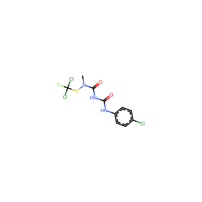 CN(SC(F)(Cl)Cl)C(=O)NC(=O)Nc1ccc(Cl)cc1